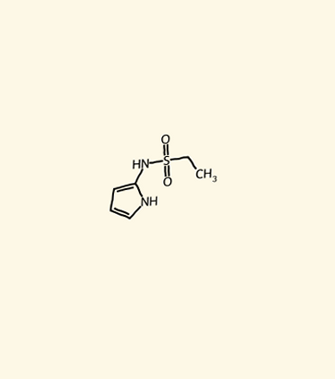 CCS(=O)(=O)Nc1ccc[nH]1